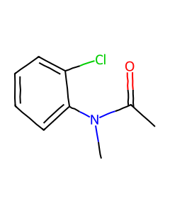 CC(=O)N(C)c1ccccc1Cl